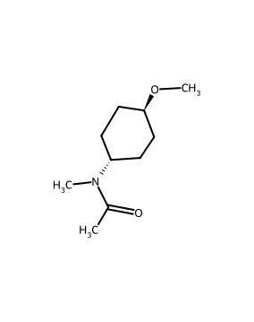 CO[C@H]1CC[C@H](N(C)C(C)=O)CC1